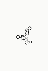 C1=CC2C3=NC(c4ccccc4)NC(c4ccc5c(c4)oc4ccccc45)=C3SC2NC1